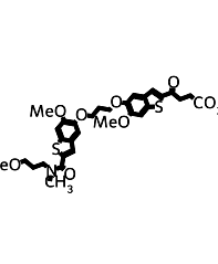 COCCCN(C)C(=O)c1cc2cc(OCCCOc3cc4cc(C(=O)CCC(=O)O)sc4cc3OC)c(OC)cc2s1